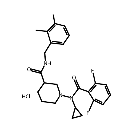 Cc1cccc(CNC(=O)C2CCCN(N(C(=O)c3c(F)cccc3F)C3CC3)C2)c1C.Cl